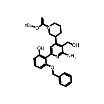 C=C(OC(C)(C)C)N1CCCC(c2cc(-c3c(O)cccc3OCc3ccccc3)nc(N)c2CO)C1